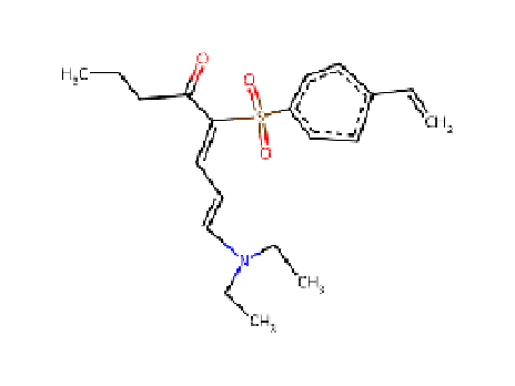 C=Cc1ccc(S(=O)(=O)/C(=C\C=C\N(CC)CC)C(=O)CCC)cc1